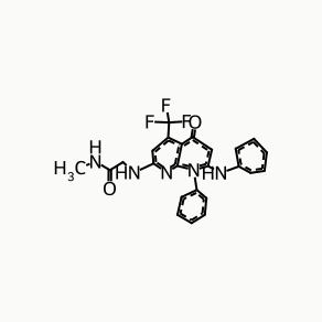 CNC(=O)CNc1cc(C(F)(F)F)c2c(=O)cc(Nc3ccccc3)n(-c3ccccc3)c2n1